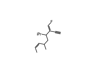 C#C/C(=C\F)C(CC(C)/C=C\C)C(C)C